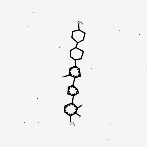 Cc1ccc(-c2ccc(-c3ccc(C4CCC(C5CCC(C)CC5)CC4)cc3F)cc2)c(F)c1F